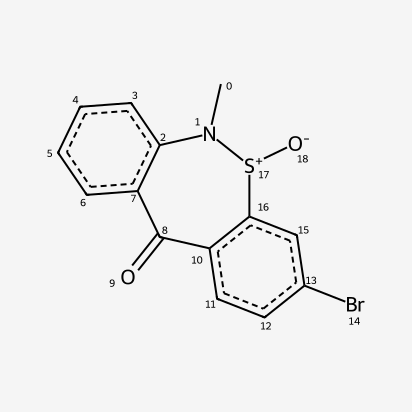 CN1c2ccccc2C(=O)c2ccc(Br)cc2[S+]1[O-]